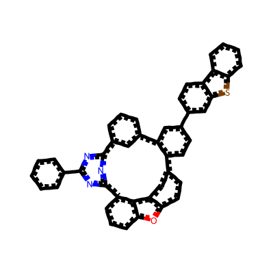 c1ccc(-c2nc3nc(n2)c2cccc4oc5ccc(cc5c42)c2ccc(-c4ccc5c(c4)sc4ccccc45)cc2c2cccc3c2)cc1